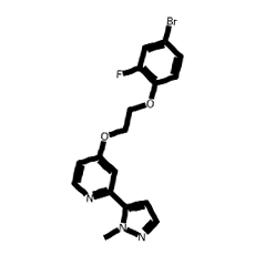 Cn1nccc1-c1cc(OCCOc2ccc(Br)cc2F)ccn1